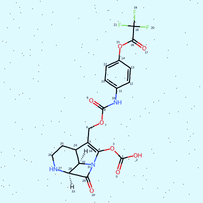 O=C(O)OC1=C(COC(=O)Nc2ccc(OC(=O)C(F)(F)F)cc2)C2CCN[C@@H]3C(=O)N1[C@H]23